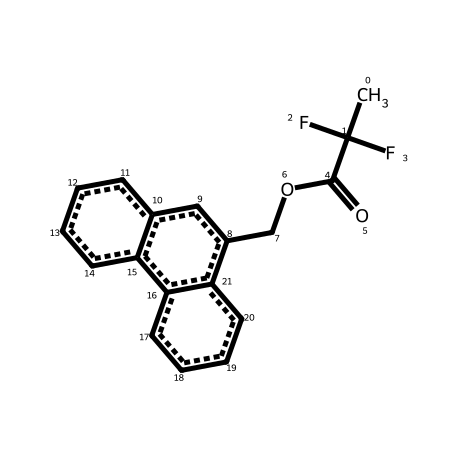 CC(F)(F)C(=O)OCc1cc2ccccc2c2ccccc12